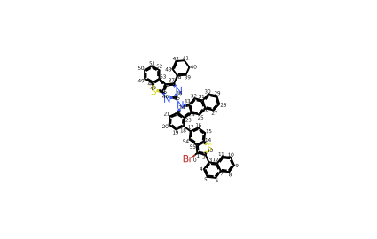 Brc1c(-c2cccc3ccccc23)sc2ccc(-c3cccc4c3c3cc5ccccc5cc3n4-c3nc(C4=CCCC=C4)c4c(n3)sc3ccccc34)cc12